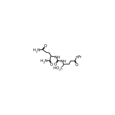 CCCC(=O)CCC(NC(=O)NC(CCC(N)=O)C(N)=O)C(=O)O